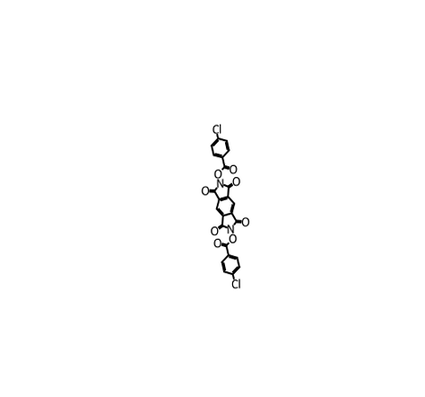 O=C(On1c(=O)c2cc3c(=O)n(OC(=O)c4ccc(Cl)cc4)c(=O)c3cc2c1=O)c1ccc(Cl)cc1